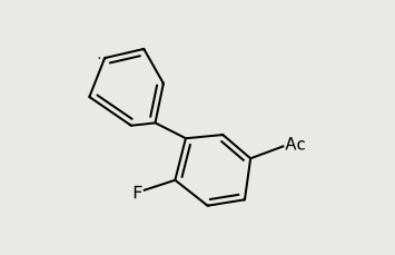 CC(=O)c1ccc(F)c(-c2cc[c]cc2)c1